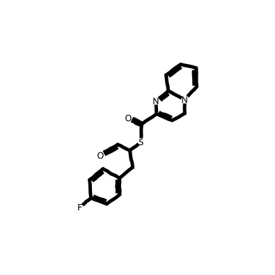 O=CC(Cc1ccc(F)cc1)SC(=O)C1=CCN2C=CC=CC2=N1